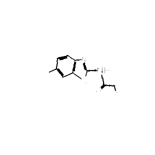 CC(=O)CC(=O)Nc1nc2ccc(C)cc2s1